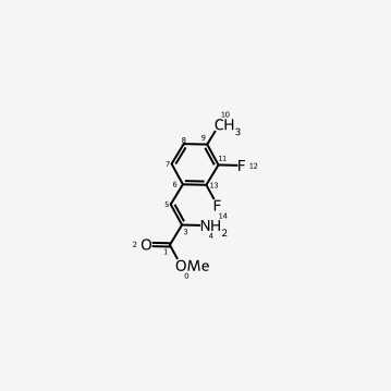 COC(=O)/C(N)=C/c1ccc(C)c(F)c1F